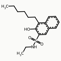 CCCCCCc1c(O)c(S(=O)(=O)NCC)cc2ccccc12